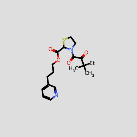 CCC(C)(C)C(=O)C(=O)N1CCSC1C(=O)OCCCc1cccnc1